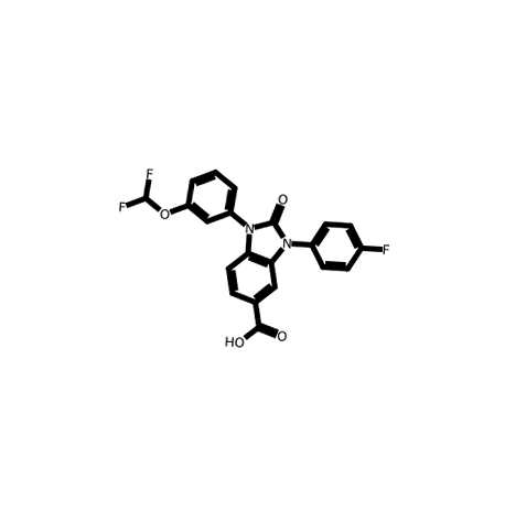 O=C(O)c1ccc2c(c1)n(-c1ccc(F)cc1)c(=O)n2-c1cccc(OC(F)F)c1